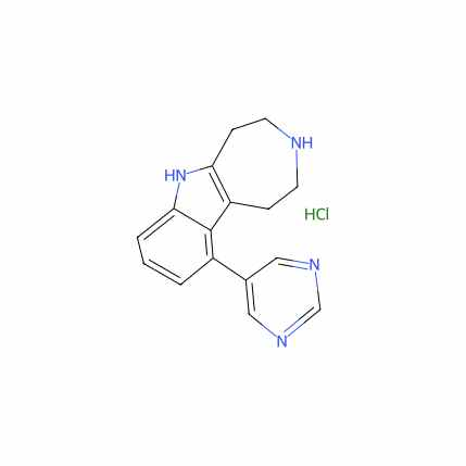 Cl.c1cc(-c2cncnc2)c2c3c([nH]c2c1)CCNCC3